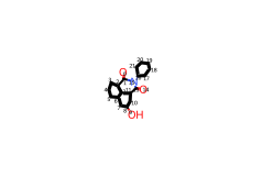 O=C1c2cccc3cc(O)cc(c23)C(=O)N1c1ccccc1